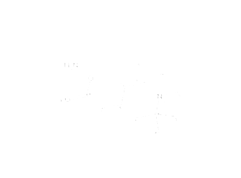 CN1C(C)(C)CC(CC(=O)ON)CC1(C)C